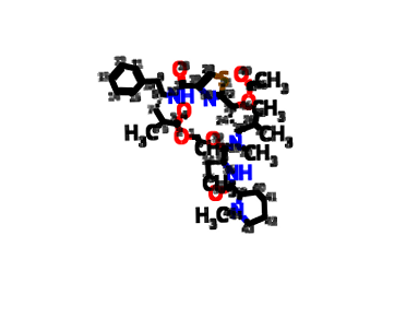 CCOC(=O)[C@@H](C)C[C@H](Cc1ccccc1)NC(=O)c1csc([C@@H](C[C@H](C(C)C)N(C)C(=O)[C@H](CC)NC(=O)[C@H]2CCCCN2C)OC(C)=O)n1